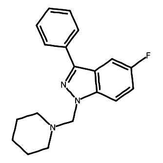 Fc1ccc2c(c1)c(-c1ccccc1)nn2CN1CCCCC1